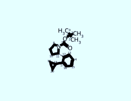 CC(C)(C)OC(=O)N1CCC[C@H]1c1ccccc1C1CC1